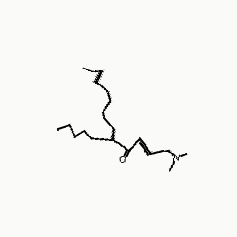 CCCCCCC(CCCCC)C(=O)/C=C/CN(C)C